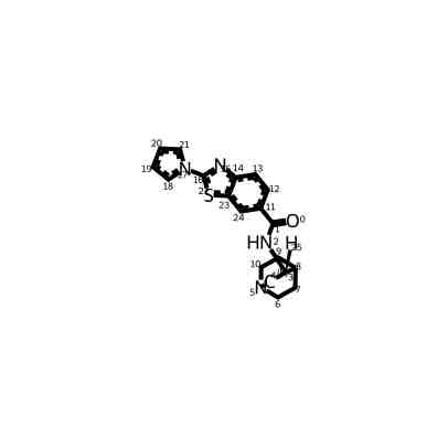 O=C(N[C@H]1CN2CCC1CC2)c1ccc2nc(-n3cccc3)sc2c1